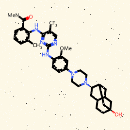 CNC(=O)c1cccc(C)c1Nc1nc(Nc2ccc(N3CCN([C@@H]4CC5CC[C@@]6(O)CC5CC4C6)CC3)cc2OC)ncc1C(F)(F)F